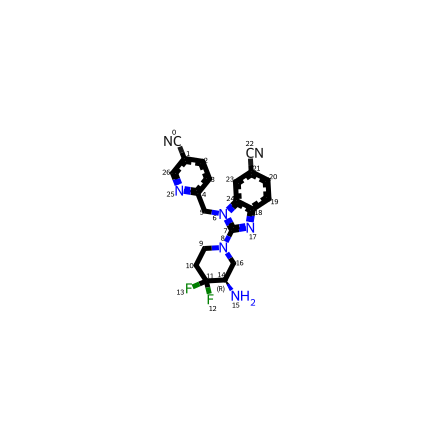 N#Cc1ccc(Cn2c(N3CCC(F)(F)[C@H](N)C3)nc3ccc(C#N)cc32)nc1